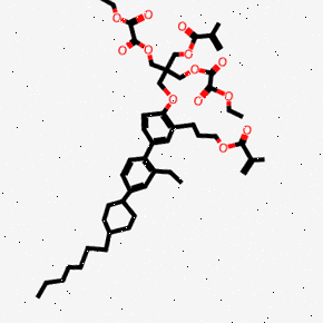 C=C(C)C(=O)OCCCc1cc(-c2ccc(C3CCC(CCCCCCC)CC3)cc2CC)ccc1OCC(COC(=O)C(=C)C)(COC(=O)C(=O)OCC)COC(=O)C(=O)OCC